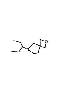 CCC(CC)N1CCC2(COC2)C1